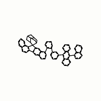 c1cc(-c2ccccc2-c2cccc3cc4c(cc23)C2(c3c-4ccc4ccccc34)C3CC4CC(C3)CC2C4)cc(-c2c3ccccc3c(-c3cccc4ccccc34)c3ccccc23)c1